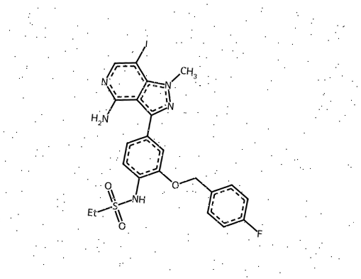 CCS(=O)(=O)Nc1ccc(-c2nn(C)c3c(I)cnc(N)c23)cc1OCc1ccc(F)cc1